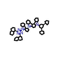 c1ccc(-c2cc(-c3ccccc3)cc(-n3c4ccccc4c4c5c6ccccc6n(-c6cccc7c6c6ccccc6n7-c6nc(-c7cccc8ccccc78)nc(-c7cccc8ccccc78)n6)c5ccc43)c2)cc1